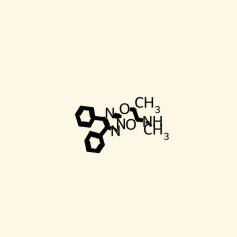 CNC(=O)C(C)Oc1nnc(-c2ccccc2)c(-c2ccccc2)n1